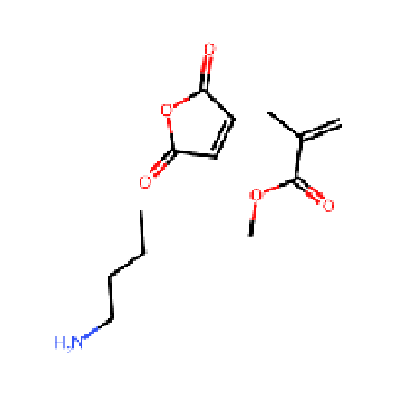 C=C(C)C(=O)OC.CCCCN.O=C1C=CC(=O)O1